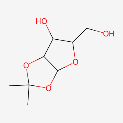 CC1(C)OC2OC(CO)C(O)C2O1